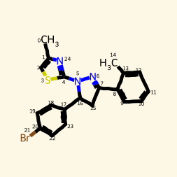 Cc1csc(N2N=C(c3ccccc3C)CC2c2ccc(Br)cc2)n1